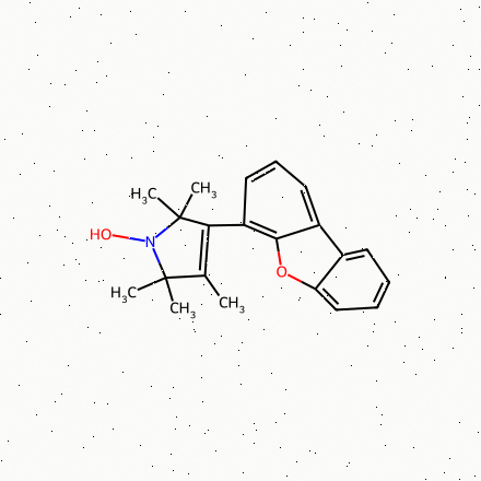 CC1=C(c2cccc3c2oc2ccccc23)C(C)(C)N(O)C1(C)C